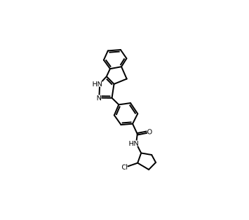 O=C(NC1CCCC1Cl)c1ccc(-c2n[nH]c3c2Cc2ccccc2-3)cc1